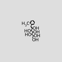 Cc1ccccc1C=C(O)C(O)C(O)C(O)C(O)CO